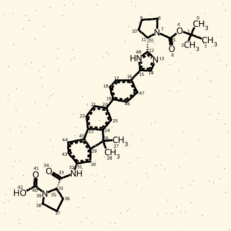 CC(C)(C)OC(=O)N1CCC[C@H]1c1ncc(-c2ccc(-c3ccc4c(c3)C(C)(C)c3cc(NC(=O)[C@@H]5CCCN5C(=O)O)ccc3-4)cc2)[nH]1